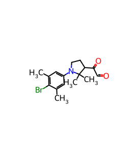 Cc1cc(N2CCC(C(=O)C=O)C2(C)C)cc(C)c1Br